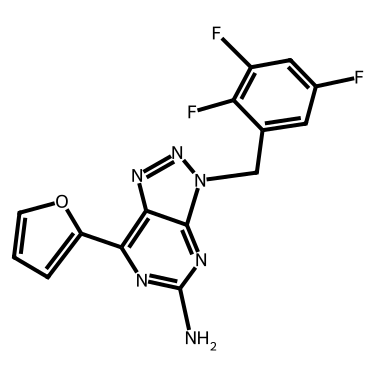 Nc1nc(-c2ccco2)c2nnn(Cc3cc(F)cc(F)c3F)c2n1